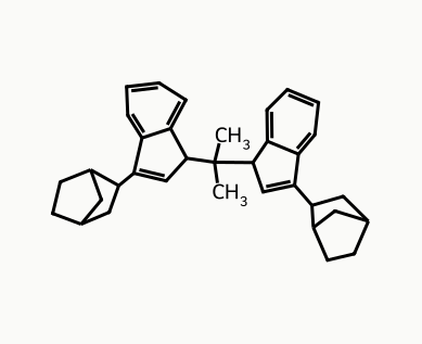 CC(C)(C1C=C(C2CC3CCC2C3)c2ccccc21)C1C=C(C2CC3CCC2C3)c2ccccc21